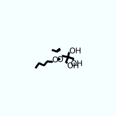 C=CC.CCCCCOOCC(CO)(CO)CO